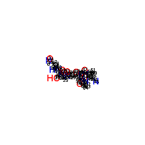 Cc1nocc1-c1ccc(CNC(=O)C2CC(O)CN2C(=O)C(C(C)C)N2Cc3ccc(OC4CC(C(=O)NCc5ccc(C#N)cc5C(C)(C)C)N(C(=O)C(C(C)C)N5Cc6ccccc6C5=O)C4)cc3C2=O)c(C(C)(C)C)c1